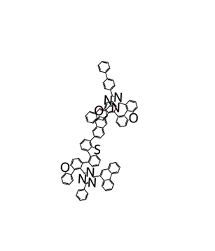 c1ccc(-c2ccc(-c3nc(-c4ccc5ccccc5c4)nc(-c4cccc5oc6cccc(-c7cccc8oc9cc%10cc(-c%11cccc%12c%11sc%11cccc(-c%13ccc%14oc%15ccccc%15c%14c%13-c%13nc(-c%14ccccc%14)nc(-c%14cc%15ccccc%15c%15ccccc%14%15)n%13)c%11%12)ccc%10cc9c78)c6c45)n3)cc2)cc1